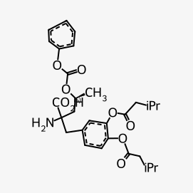 CC(C)CC(=O)Oc1ccc(CC(N)(C[C@H](C)OC(=O)Oc2ccccc2)C(=O)O)cc1OC(=O)CC(C)C